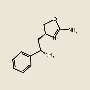 CC(C[C@H]1COC(N)=N1)c1ccccc1